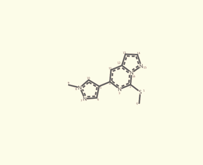 CSc1nc(-c2cnn(C)c2)cc2ccnn12